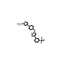 Cn1cc(-c2ccc(Cn3cc(-c4cccc(C(F)(F)F)c4)nn3)cc2)cn1